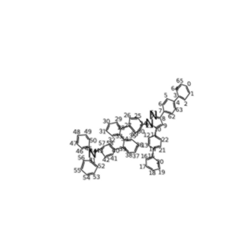 c1ccc(-c2ccc(-c3cc(-c4ccc(-c5ccccc5)cc4)n(-c4ccc(-c5ccccc5-c5ccccc5-c5ccc(N(c6ccccc6)c6ccccc6)cc5)cc4)n3)cc2)cc1